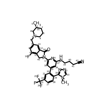 C[C@H]1CCCN(Cc2cc(F)c3c(c2)C(=O)N(c2cc(-c4cc(C(F)(F)F)ccc4-c4nncn4C)cc(NCCCC#N)n2)C3)C1